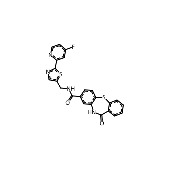 O=C(NCc1cnc(-c2cc(F)ccn2)s1)c1ccc2c(c1)NC(=O)c1ccccc1S2